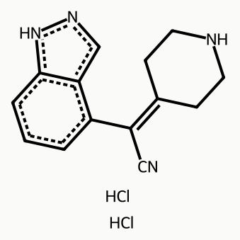 Cl.Cl.N#CC(=C1CCNCC1)c1cccc2[nH]ncc12